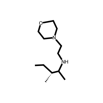 CC[C@@H](C)C(C)NCCN1CCOCC1